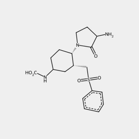 NC1CCN([C@H]2CCC(NC(=O)O)C[C@H]2CS(=O)(=O)c2ccccc2)C1=O